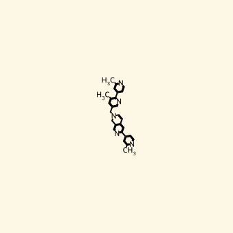 Cc1cc(-c2cc3c(cn2)CN(Cc2cnc(-c4ccnc(C)c4)c(C)c2)C=C3)ccn1